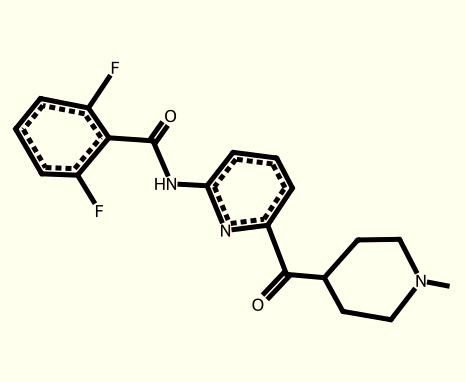 CN1CCC(C(=O)c2cccc(NC(=O)c3c(F)cccc3F)n2)CC1